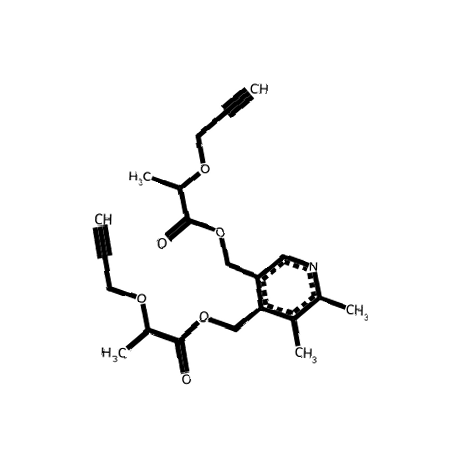 C#CCOC(C)C(=O)OCc1cnc(C)c(C)c1COC(=O)C(C)OCC#C